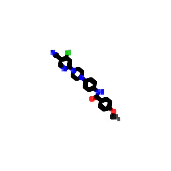 COc1ccc(C(=O)Nc2ccc(N3CCN(c4cc(Cl)c(C#N)cn4)CC3)cc2)cc1